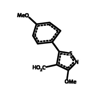 COc1ccc(-c2snc(OC)c2C(=O)O)cc1